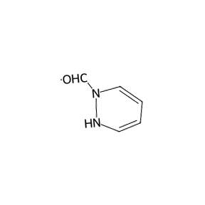 O=[C]N1C=CC=CN1